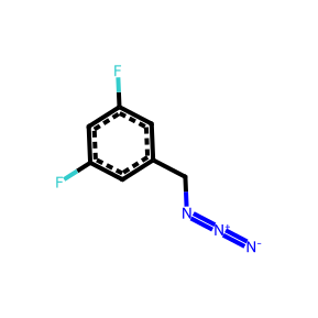 [N-]=[N+]=NCc1cc(F)cc(F)c1